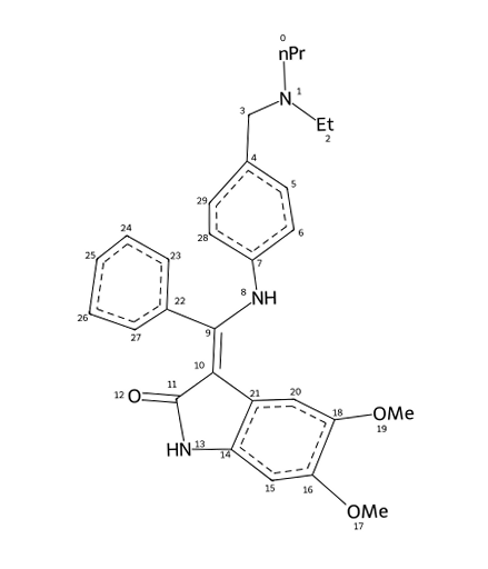 CCCN(CC)Cc1ccc(NC(=C2C(=O)Nc3cc(OC)c(OC)cc32)c2ccccc2)cc1